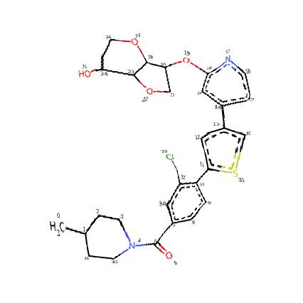 CC1CCN(C(=O)c2ccc(-c3cc(-c4ccnc(OC5COC6C(O)COC56)c4)cs3)c(Cl)c2)CC1